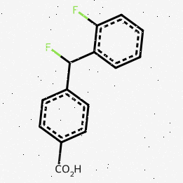 O=C(O)c1ccc(C(F)c2ccccc2F)cc1